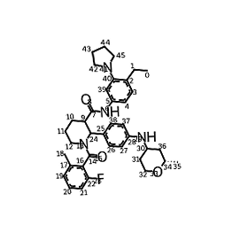 CCc1ccc(NC(=O)C2CCCN(C(=O)c3c(C)cccc3F)C2c2ccc(NC3CCO[C@@H](C)C3)cc2)cc1N1CCCC1